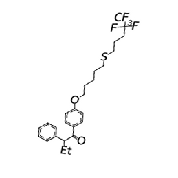 CCC(C(=O)c1ccc(OCCCCCSCCCC(F)(F)C(F)(F)F)cc1)c1ccccc1